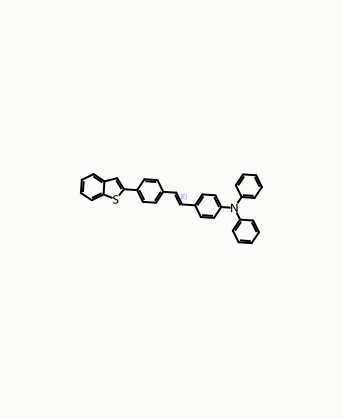 C(=C\c1ccc(N(c2ccccc2)c2ccccc2)cc1)/c1ccc(-c2cc3ccccc3s2)cc1